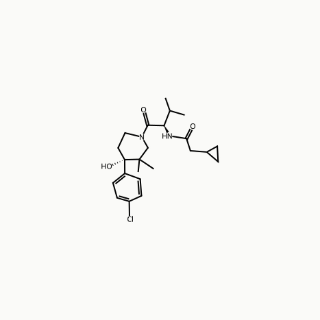 CC(C)[C@@H](NC(=O)CC1CC1)C(=O)N1CC[C@](O)(c2ccc(Cl)cc2)C(C)(C)C1